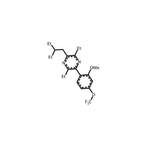 CCc1nc(-c2ccc(OC(F)(F)F)cc2OC)c(CC)nc1CC(CC)CC